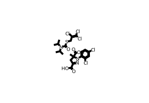 CC(C)N(C(=O)SCC(Cl)=C(Cl)Cl)C(C)C.CC1(C(=O)O)CC(C(=O)O)=NN1c1ccc(Cl)cc1Cl